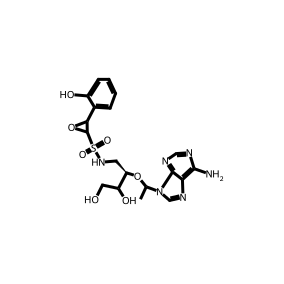 CC(O[C@H](CNS(=O)(=O)C1OC1c1ccccc1O)C(O)CO)n1cnc2c(N)ncnc21